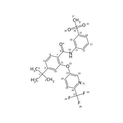 CC(C)(C)c1ccc(C(=O)Nc2cccc(S(C)(=O)=O)c2)c(Oc2ccc(C(F)(F)F)nc2)c1